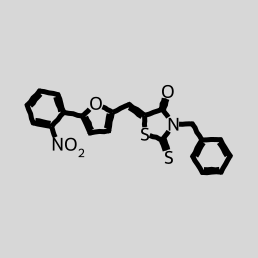 O=C1C(=Cc2ccc(-c3ccccc3[N+](=O)[O-])o2)SC(=S)N1Cc1ccccc1